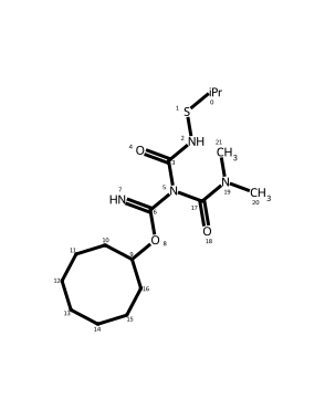 CC(C)SNC(=O)N(C(=N)OC1CCCCCCC1)C(=O)N(C)C